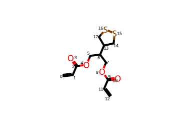 C=CC(=O)OCC(COC(=O)C=C)C1CSSC1